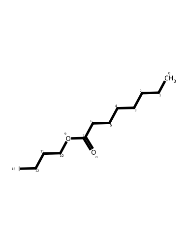 CCCCCCCC(=O)OCCCI